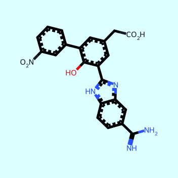 N=C(N)c1ccc2[nH]c(-c3cc(CC(=O)O)cc(-c4cccc([N+](=O)[O-])c4)c3O)nc2c1